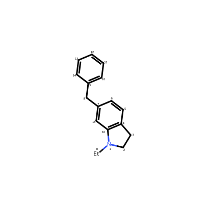 CCN1CCc2ccc(Cc3ccccc3)cc21